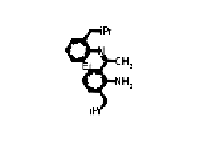 CCc1cccc(CC(C)C)c1/N=C(/C)c1cccc(CC(C)C)c1N